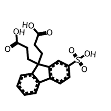 O=C(O)CCC1(CCC(=O)O)c2ccccc2-c2ccc(S(=O)(=O)O)cc21